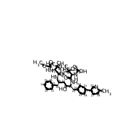 COC(=O)N[C@H](C(=O)N[C@@H](Cc1ccccc1)C[C@H](O)[C@H](Cc1ccc(-c2ccc(C)nc2)cc1)NC(=O)[C@H](NC(=O)O)C(C)(C)C)C(C)(C)C